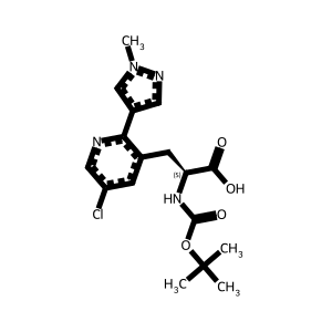 Cn1cc(-c2ncc(Cl)cc2C[C@H](NC(=O)OC(C)(C)C)C(=O)O)cn1